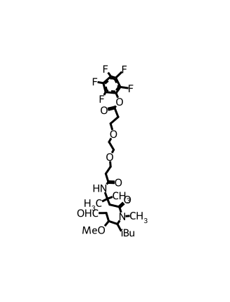 CCC(C)C(C(CC=O)OC)N(C)C(=O)CC(C)(C)NC(=O)CCOCCOCCC(=O)Oc1c(F)c(F)c(F)c(F)c1F